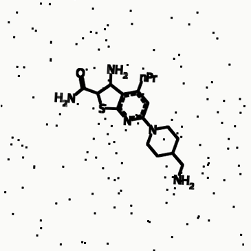 CCCc1cc(N2CCC(CN)CC2)nc2c1C(N)C(C(N)=O)S2